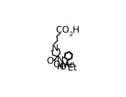 CCC(=O)c1ccccc1NC1(C(=O)OC)CCN(CCCCC(=O)O)CC1